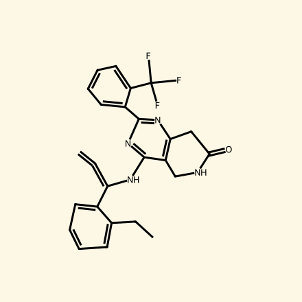 C=C=C(Nc1nc(-c2ccccc2C(F)(F)F)nc2c1CNC(=O)C2)c1ccccc1CC